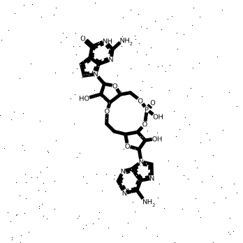 Nc1nc2c(ccn2C2OC3COP(=O)(O)OC4C(CCOC3C2O)OC(n2cnc3c(N)ncnc32)C4O)c(=O)[nH]1